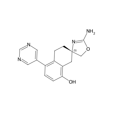 NC1=N[C@]2(CCc3c(-c4cncnc4)ccc(O)c3C2)CO1